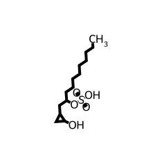 CCCCCCCCCC(CC1CC1O)OS(=O)(=O)O